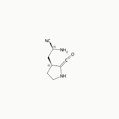 N#C[C@@H](N)C[C@@H]1CCNC1=C=O